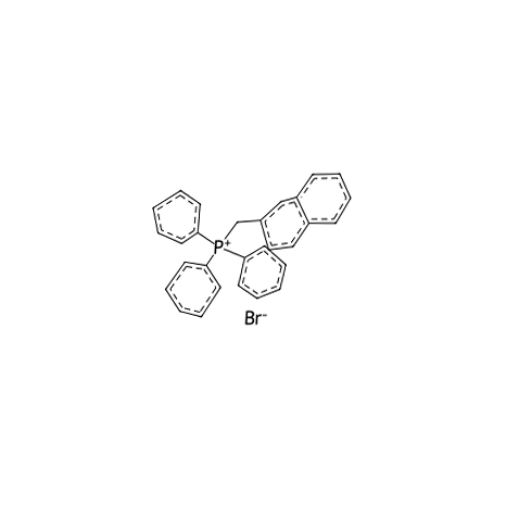 [Br-].c1ccc([P+](Cc2ccc3ccccc3c2)(c2ccccc2)c2ccccc2)cc1